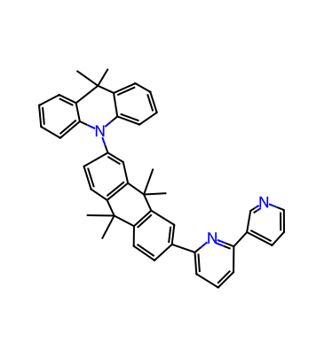 CC1(C)c2ccccc2N(c2ccc3c(c2)C(C)(C)c2cc(-c4cccc(-c5cccnc5)n4)ccc2C3(C)C)c2ccccc21